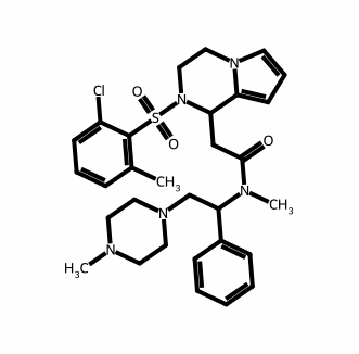 Cc1cccc(Cl)c1S(=O)(=O)N1CCn2cccc2C1CC(=O)N(C)C(CN1CCN(C)CC1)c1ccccc1